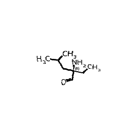 CC[C@](N)(C=O)CC(C)C